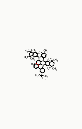 Cc1ccc2c(c1)N(c1cc3c(cc1C)C(C)(C)CC3(C)C)c1cc(C)cc3c1B2c1cc2c(cc1N3c1ccc(C(C)(C)C)cc1-c1ccccc1)C(C)(C)CCC2(C)C